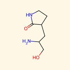 NC(CO)CC1CCNC1=O